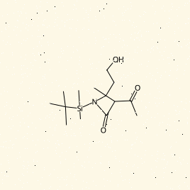 CC(=O)C1C(=O)N([Si](C)(C)C(C)(C)C)C1(C)CCO